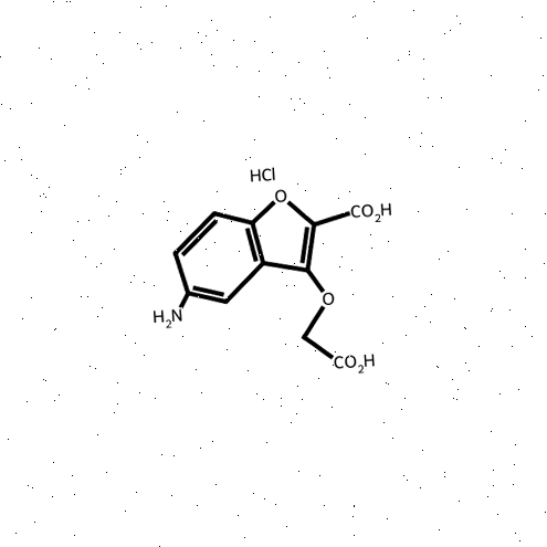 Cl.Nc1ccc2oc(C(=O)O)c(OCC(=O)O)c2c1